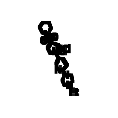 CCN1CCN(c2ccc(-c3ccc(S(=O)(=O)N4CCCCC4)cc3)cn2)CC1.Cl.Cl